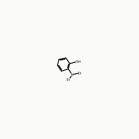 CCN(CC)c1[c]cccc1O